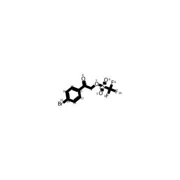 O=C(COS(=O)(=O)C(F)(F)F)c1ccc(Br)cc1